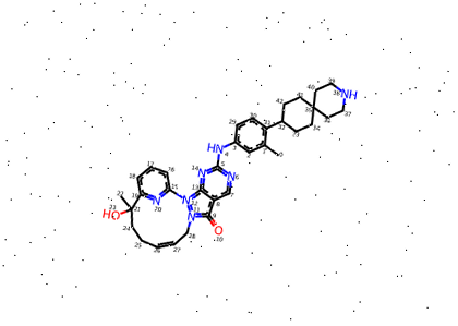 Cc1cc(Nc2ncc3c(=O)n4n(c3n2)-c2cccc(n2)C(C)(O)CCC=CC4)ccc1C1CCC2(CCNCC2)CC1